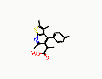 Cc1ccc(-c2c(C(C)C(=O)O)c(C)nc3sc(C)c(C)c23)cc1